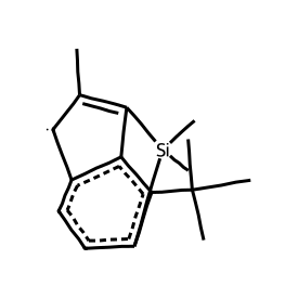 CC1=C2c3c(ccc(c3C(C)(C)C)[Si]2(C)C)[CH]1